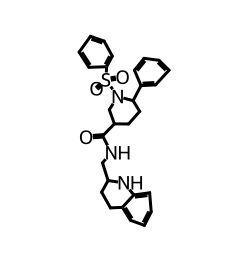 O=C(NCC1CCc2ccccc2N1)C1CCC(c2ccccc2)N(S(=O)(=O)c2ccccc2)C1